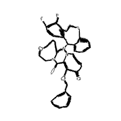 O=C1c2c(OCc3ccccc3)c(=O)ccn2N([C@@H]2c3ccccc3SCc3c2ccc(F)c3F)C2COCCN12